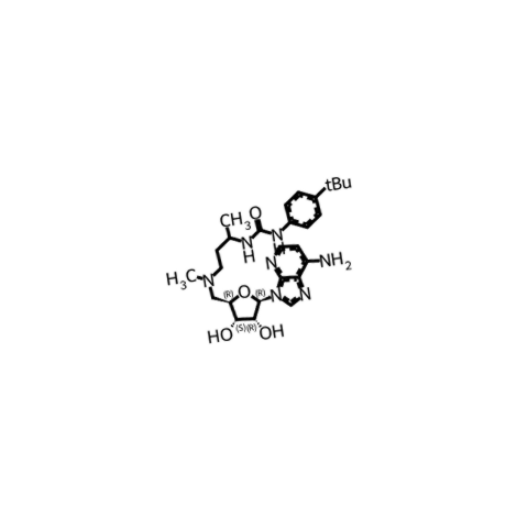 CC(CCN(C)C[C@H]1O[C@@H](n2cnc3c(N)ccnc32)[C@H](O)[C@@H]1O)NC(=O)Nc1ccc(C(C)(C)C)cc1